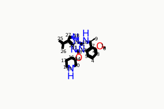 COc1ccccc1[C@H](C)Nc1nc(OC2CCCNC2)nc2c(C(C)C)cnn12